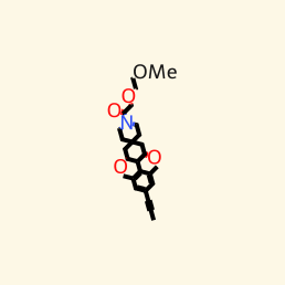 CC#Cc1cc(C)c(C2C(=O)CC3(CCN(C(=O)COCCOC)CC3)CC2=O)c(C)c1